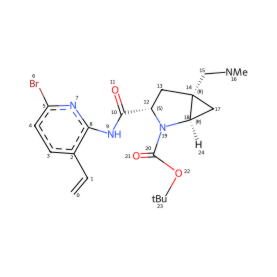 C=Cc1ccc(Br)nc1NC(=O)[C@@H]1C[C@@]2(CNC)C[C@H]2N1C(=O)OC(C)(C)C